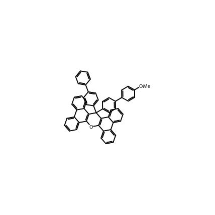 COc1ccc(-c2ccc(C3(c4ccc(-c5ccccc5)cc4)c4c(c5ccccc5c5ccccc45)Oc4c3c3ccccc3c3ccccc43)cc2)cc1